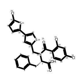 O=C(O)[C@H](Cc1ccccc1)N(Cc1cc(-c2ccc(Cl)s2)cs1)C(=O)c1ccc(Cl)cc1Cl